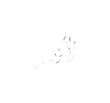 C[Si](C)(C)CCOCn1ccc2c(N3CCCC3c3nn4ccc(Cl)c4c(=O)[nH]3)ncnc21